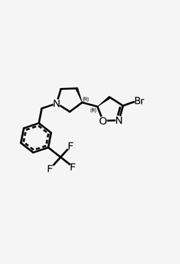 FC(F)(F)c1cccc(CN2CC[C@@H]([C@H]3CC(Br)=NO3)C2)c1